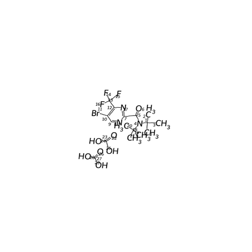 CC(C)(C)N(C(=O)c1ncc(Br)c(C(F)(F)F)n1)C(C)(C)C.O=C(O)O.O=C(O)O